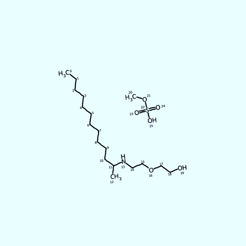 CCCCCCCCCCCC(C)NCCOCCO.COS(=O)(=O)O